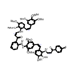 COc1cc(/C=C\c2ccc(OC)c(OC)c2N/C=C\C(=O)c2ccccc2NOc2c(OC)cc(/C=C\c3ccc(OC)c(OC)c3N/C=C\C(=O)c3ccc(F)cc3)cc2OC)cc(OC)c1OC